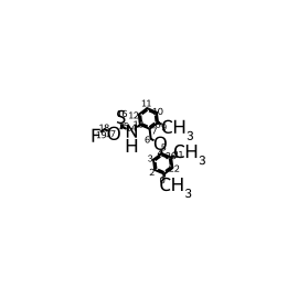 Cc1ccc(OCc2c(C)cccc2NC(=S)OCF)c(C)c1